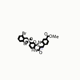 COC(=O)c1ccc(/C=C2\Sc3cc(S(=O)(=O)Cc4c(Br)cccc4Br)ccc3NC2=O)c([N+](=O)[O-])c1